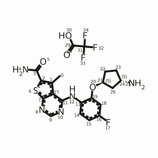 Cc1c(C(N)=O)sc2ncnc(Nc3ccc(F)cc3O[C@H]3CC[C@H](N)C3)c12.O=C(O)C(F)(F)F